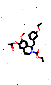 CCOC(=O)N1C=Cc2cc(OC(C)=O)c(OC)cc2C1Cc1cccc(OCC)c1